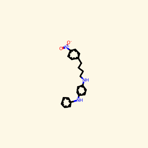 O=[N+]([O-])c1ccc(CCCCNc2ccc(Nc3ccccc3)cc2)cc1